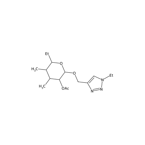 CCC1OC(OCc2cn(CC)nn2)C(OC(C)=O)C(C)C1C